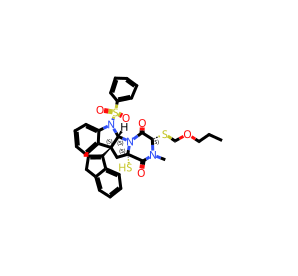 CCCOCS[C@H]1C(=O)N2[C@H]3N(S(=O)(=O)c4ccccc4)c4ccccc4[C@@]3(C3=CCc4ccccc43)C[C@]2(S)C(=O)N1C